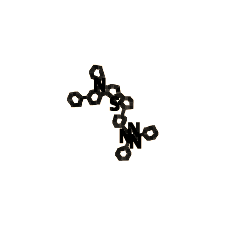 c1ccc(-c2ccc3c4c5sc6c(-c7cccc(-c8nc(-c9ccccc9)nc(-c9ccccc9)n8)c7)cccc6c5ccc4n(-c4ccccc4)c3c2)cc1